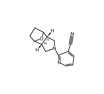 N#Cc1cccnc1N1C[C@@H]2C3CCC(O3)[C@@H]2C1